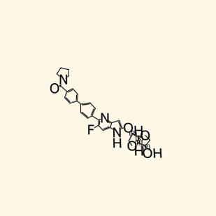 O=C(c1ccc(-c2ccc(-c3nc4cc(O[C@@H]5CO[C@H]6[C@@H]5OC[C@H]6O)[nH]c4cc3F)cc2)cc1)N1CCCC1